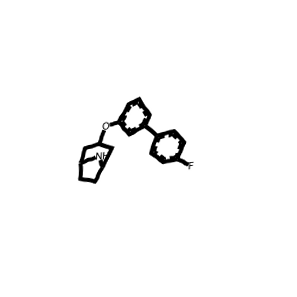 Fc1ccc(-c2cccc(OC3CC4CCC(C3)N4)c2)cc1